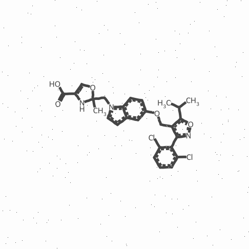 CC(C)c1onc(-c2c(Cl)cccc2Cl)c1COc1ccc2c(ccn2CC2(C)NC(C(=O)O)=CO2)c1